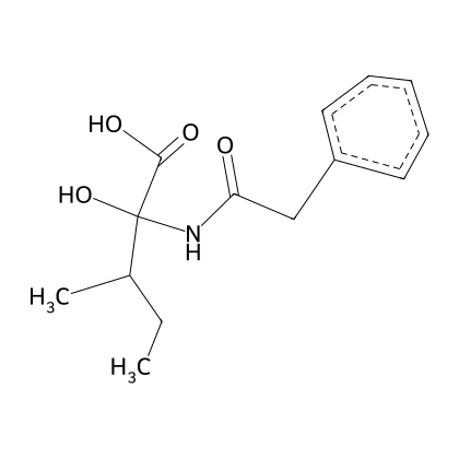 CCC(C)C(O)(NC(=O)Cc1ccccc1)C(=O)O